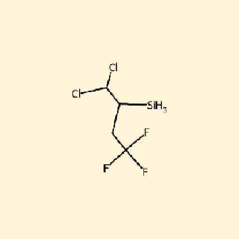 FC(F)(F)CC([SiH3])C(Cl)Cl